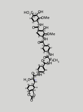 COc1c(NC(=O)c2ccc(NC(=O)c3ccc(NC(=O)[C@H](C)NC(=O)c4ccc(NC(=O)/C(C)=C/c5ccc6oc(=O)oc6c5)cc4)cc3)c(OC)c2O)ccc(C(=O)O)c1O